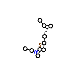 c1ccc(-c2ccc(-n3c4ccccc4c4c5cccc6c5c(cc43)Sc3cc(-c4ccc(CCC5c7ccccc7-c7cc(-c8ccccc8)ccc75)cc4)ccc3-6)cc2)cc1